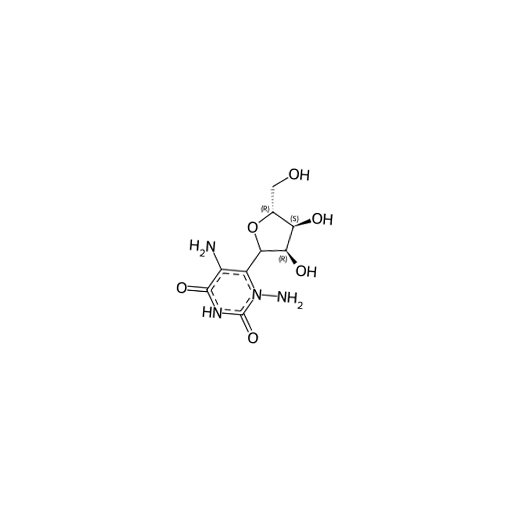 Nc1c(C2O[C@H](CO)[C@@H](O)[C@H]2O)n(N)c(=O)[nH]c1=O